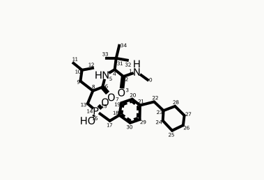 CNC(=O)C(NC(=O)C(CC(C)C)CP(=O)(O)Cc1ccc(CC2CCCCC2)cc1)C(C)(C)C